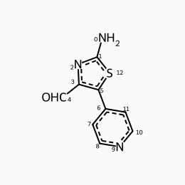 Nc1nc(C=O)c(-c2ccncc2)s1